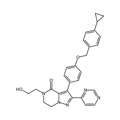 O=C1c2c(-c3ccc(OCc4ccc(C5CC5)cc4)cc3)c(-c3ccncn3)nn2CCN1CCO